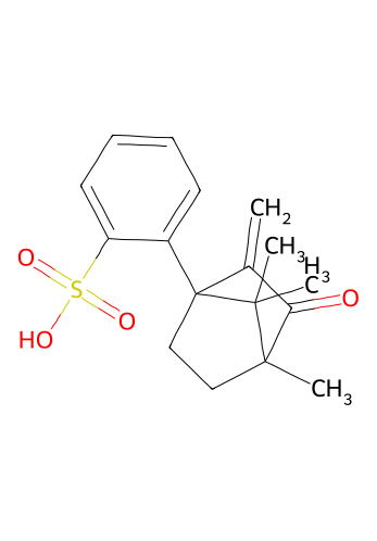 C=C1C(=O)C2(C)CCC1(c1ccccc1S(=O)(=O)O)C2(C)C